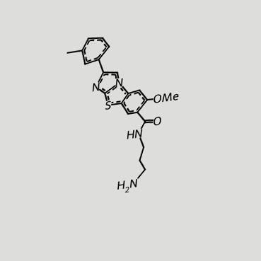 COc1cc2c(cc1C(=O)NCCCN)sc1nc(-c3cccc(C)c3)cn12